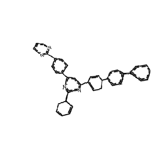 C1=CCC(c2nc(C3=CCC(c4ccc(-c5ccccc5)cc4)C=C3)cc(-c3ccc(-c4ncccn4)cc3)n2)C=C1